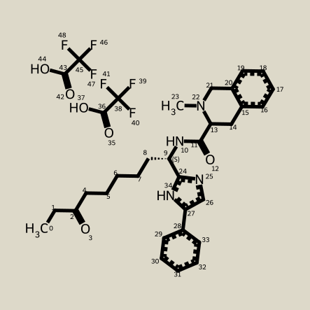 CCC(=O)CCCCC[C@H](NC(=O)C1Cc2ccccc2CN1C)c1ncc(-c2ccccc2)[nH]1.O=C(O)C(F)(F)F.O=C(O)C(F)(F)F